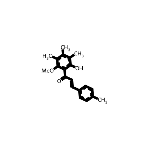 COc1c(C)c(C)c(C)c(O)c1C(=O)/C=C/c1ccc(C)cc1